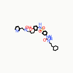 O=c1n(CCCC2CCCCC2)nnn1-c1ccc(S(=O)(=O)Nc2ccc3c(c2)CC[C@@H](CN(O)CCc2cccnc2)O3)cc1